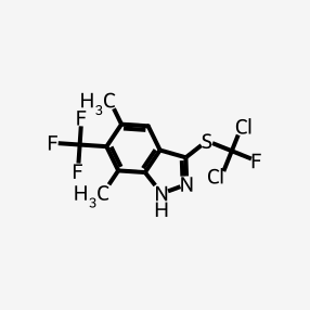 Cc1cc2c(SC(F)(Cl)Cl)n[nH]c2c(C)c1C(F)(F)F